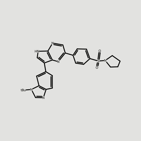 CC(C)(C)n1cnc2ccc(-c3c[nH]c4ncc(-c5ccc(S(=O)(=O)N6CCCC6)cc5)nc34)cc21